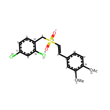 COc1cc(C=CS(=O)(=O)Cc2ccc(Cl)cc2Cl)ccc1OC(C)=O